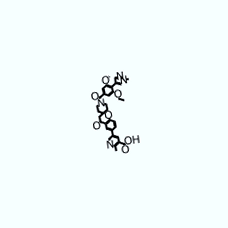 CCOc1cc(C(=O)N2CCC3(CC2)CC(=O)c2cc(-c4cnc(C)c(C(=O)O)c4)ccc2O3)cc(OC)c1-c1cnn(C)c1